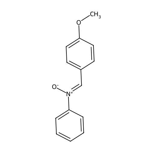 COc1ccc(/C=[N+](\[O-])c2ccccc2)cc1